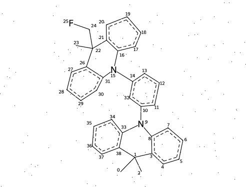 CC1(C)c2ccccc2N(c2cccc(N3c4ccccc4C(C)(CF)c4ccccc43)c2)c2ccccc21